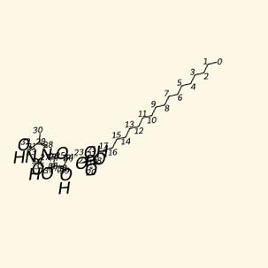 CCCCCCCCCCCCCCCCCCOP(=O)(O)OC[C@H]1O[C@@H](n2cc(C)c(=O)[nH]c2=O)[C@@H](O)[C@@H]1O